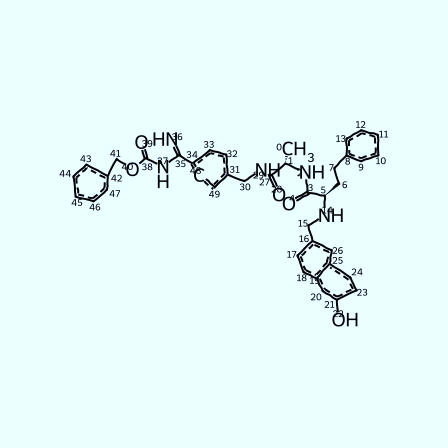 C[C@H](NC(=O)[C@@H](CCc1ccccc1)NCc1ccc2cc(O)ccc2c1)C(=O)NCc1ccc(C(=N)NC(=O)OCc2ccccc2)cc1